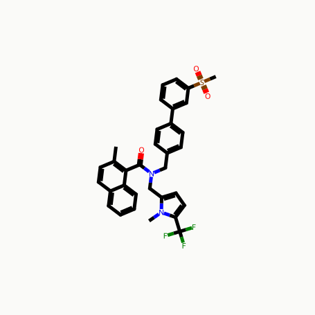 Cc1ccc2ccccc2c1C(=O)N(Cc1ccc(-c2cccc(S(C)(=O)=O)c2)cc1)Cc1ccc(C(F)(F)F)n1C